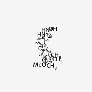 COC1(C)CC(C)(C)c2ccc(Oc3ccc(NC(=O)NO)cc3)cc2O1